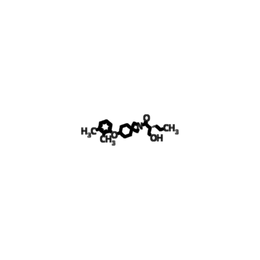 CCC[C@H](CO)C(=O)N1CC2(CCC(Oc3cccc(C)c3C)CC2)C1